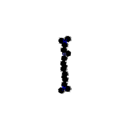 C(=C(/c1ccccc1)c1ccc(-c2ccc3c(c2)Cc2cc(-c4ccc5c(c4)Cc4cc(-c6ccc7c(c6)c6ccccc6n7-c6ccccc6)ccc4-5)ccc2-3)cc1)/c1ccc(-c2ccc3c(c2)c2ccccc2n3-c2ccccc2)cc1